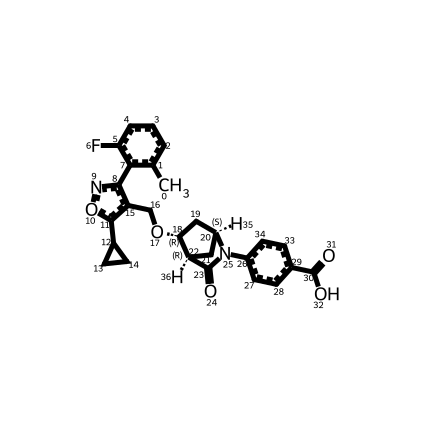 Cc1cccc(F)c1-c1noc(C2CC2)c1CO[C@@H]1C[C@@H]2C[C@H]1C(=O)N2c1ccc(C(=O)O)cc1